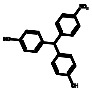 O=[N+]([O-])c1ccc(C(c2ccc(O)cc2)c2ccc(O)cc2)cc1